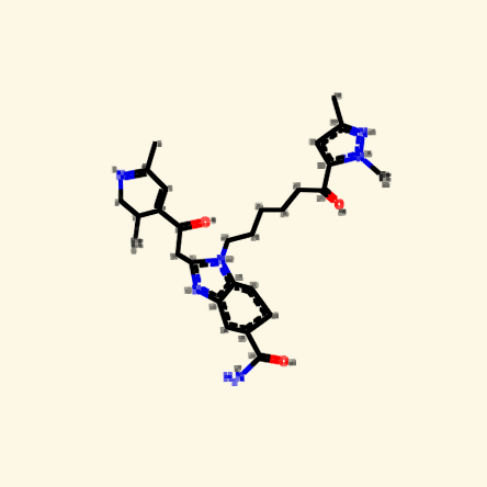 CCC1CN=C(C)C=C1C(=O)Cc1nc2cc(C(N)=O)ccc2n1CCCCCC(=O)c1cc(C)nn1CC